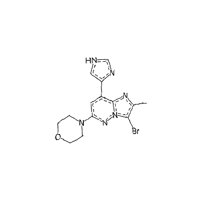 Cc1nc2c(-c3c[nH]cn3)cc(N3CCOCC3)nn2c1Br